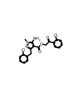 Cn1nc(Cc2ccccc2Cl)c(C(=O)OCC(=O)c2ccccc2Cl)c1N